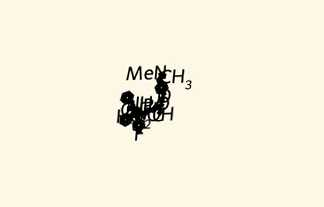 CNC(C)Cc1ccc(OCO[C@@H](CC(=O)O)C[C@H](O)CCn2c(-c3ccc(F)cc3)c(-c3ccccc3)c(C(=O)Nc3ccccc3)c2C(C)C)cc1